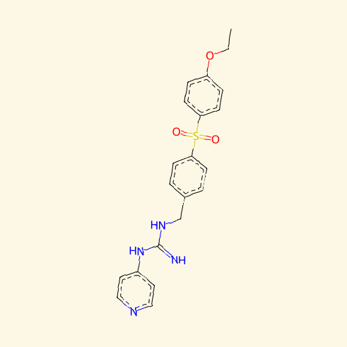 CCOc1ccc(S(=O)(=O)c2ccc(CNC(=N)Nc3ccncc3)cc2)cc1